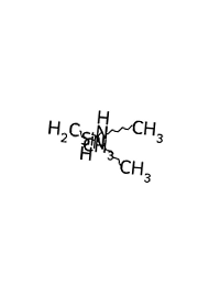 C=CC[SiH](C)CC(=NCCCCCCC)NCCCCCCC